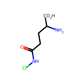 NC(CCC(=O)NCl)C(=O)O